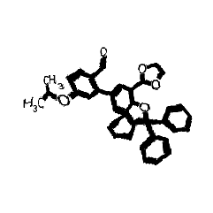 CC(C)Oc1ccc(C=O)c(-c2ccc(OC(c3ccccc3)(c3ccccc3)c3ccccc3)c(C3OCCO3)c2)c1